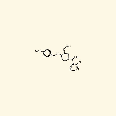 CCCCOc1cc(C(O)c2nccnc2Cl)ccc1OCc1ccc(OC)cc1